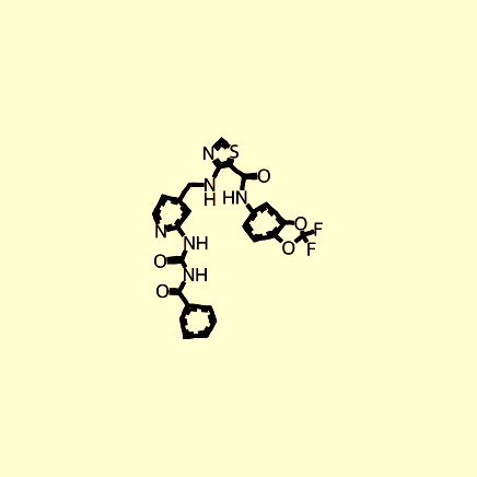 O=C(NC(=O)c1ccccc1)Nc1cc(CNc2ncsc2C(=O)Nc2ccc3c(c2)OC(F)(F)O3)ccn1